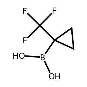 OB(O)C1(C(F)(F)F)CC1